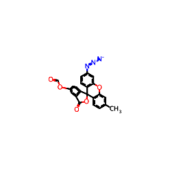 Cc1ccc2c(c1)Oc1cc(N=[N+]=[N-])ccc1C21OC(=O)c2cc(OC=O)ccc21